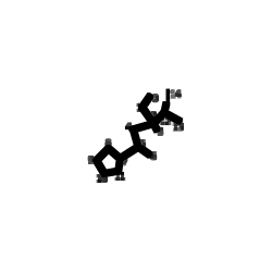 CCC(C)(CC(C)C1CCCC1)C(C)I